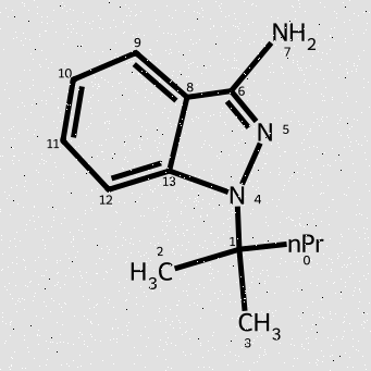 CCCC(C)(C)n1nc(N)c2ccccc21